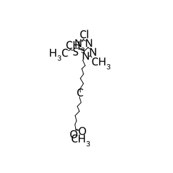 COC(=O)CCCCCCCCCCCCCCCn1c(C)nc2nc(Cl)nc(SC(C)C)c21